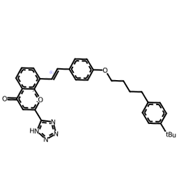 CC(C)(C)c1ccc(CCCCOc2ccc(/C=C/c3cccc4c(=O)cc(-c5nnn[nH]5)oc34)cc2)cc1